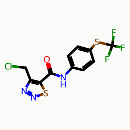 O=C(Nc1ccc(SC(F)(F)F)cc1)c1snnc1CCl